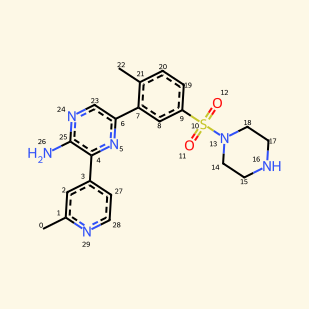 Cc1cc(-c2nc(-c3cc(S(=O)(=O)N4CCNCC4)ccc3C)cnc2N)ccn1